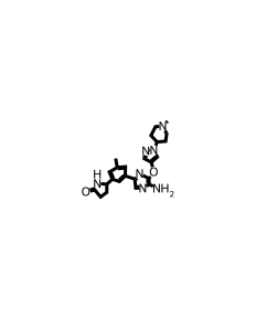 Cc1cc(-c2cnc(N)c(Oc3cnn(C4CCN(C)CC4)c3)n2)cc(C2CCC(=O)N2)c1